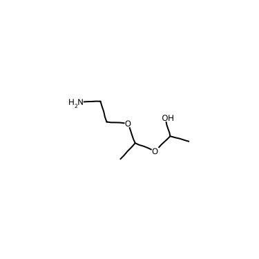 CC(O)OC(C)OCCN